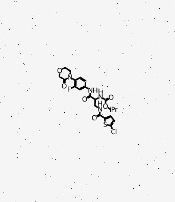 CC(C)OC(=O)NC(CNC(=O)c1ccc(Cl)s1)C(=O)Nc1ccc(N2CCOCC2=O)c(F)c1